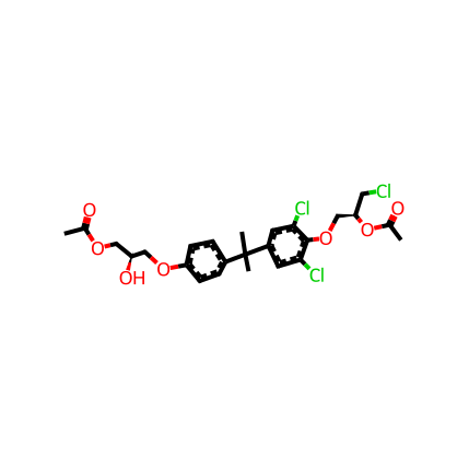 CC(=O)OC[C@H](O)COc1ccc(C(C)(C)c2cc(Cl)c(OC[C@@H](CCl)OC(C)=O)c(Cl)c2)cc1